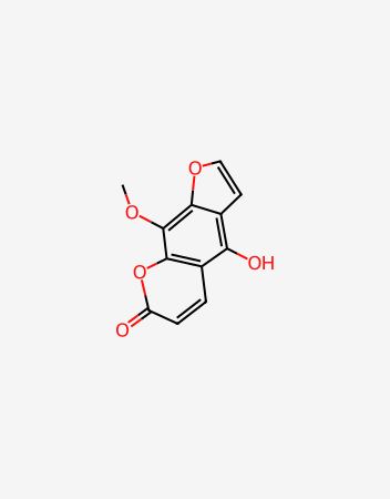 COc1c2occc2c(O)c2ccc(=O)oc12